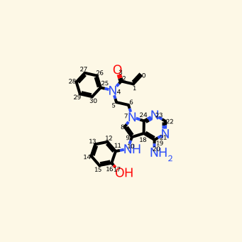 C=CC(=O)N(CCn1cc(Nc2ccccc2O)c2c(N)ncnc21)c1ccccc1